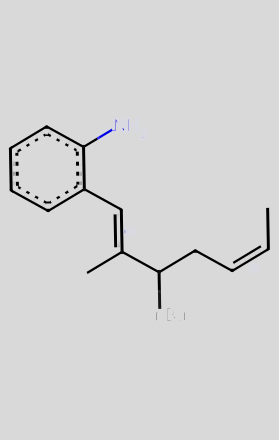 C/C=C\CC(CCCC)/C(C)=C/c1ccccc1N